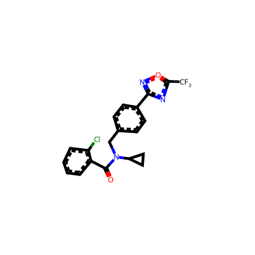 O=C(c1ccccc1Cl)N(Cc1ccc(-c2noc(C(F)(F)F)n2)cc1)C1CC1